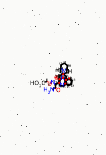 NC(=O)/C(=N\OCC(=O)O)c1nc2ccccc2n(C2C[C@H]3CCC[C@@H](C2)N3C2C[C@H]3CCCC[C@@H](C2)C3)c1=O